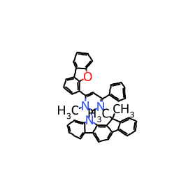 CN1C(c2cccc3c2oc2ccccc23)=CC(c2ccccc2)=NC1n1c2ccccc2c2ccc3c(c21)C(C)(C)c1ccccc1-3